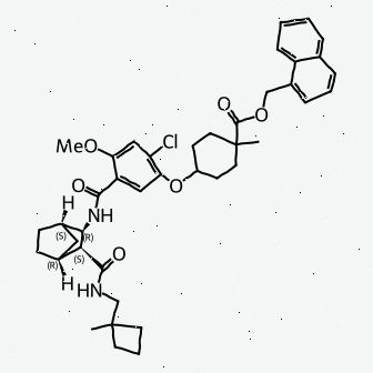 COc1cc(Cl)c(OC2CCC(C)(C(=O)OCc3cccc4ccccc34)CC2)cc1C(=O)N[C@@H]1[C@H]2CC[C@H](C2)[C@@H]1C(=O)NCC1(C)CCC1